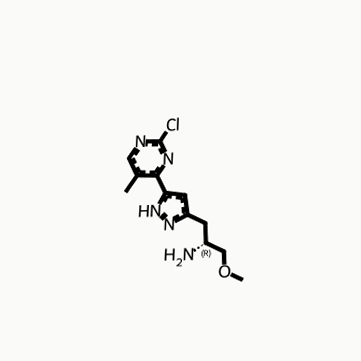 COC[C@H](N)Cc1cc(-c2nc(Cl)ncc2C)[nH]n1